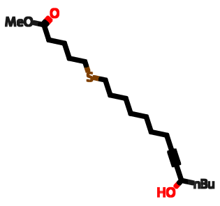 CCCCC(O)C#CCCCCCCCSCCCCC(=O)OC